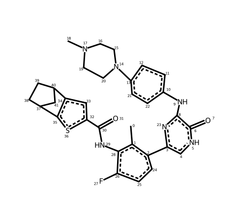 Cc1c(-c2c[nH]c(=O)c(Nc3ccc(N4CCN(C)CC4)cc3)n2)ccc(F)c1NC(=O)c1cc2c(s1)C1CCC2C1